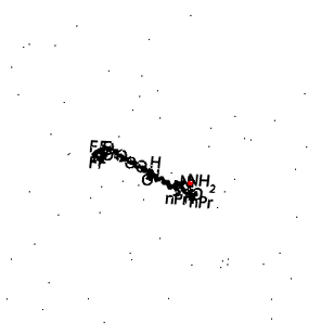 CCCN(CCC)C(=O)C1=Cc2sc(CCCCCNC(=O)CCOCCOCCOCCC(=O)Oc3c(F)c(F)cc(F)c3F)cc2N=C(N)C1